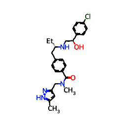 CC[C@@H](Cc1ccc(C(=O)N(C)Cc2cc(C)[nH]n2)cc1)NC[C@H](O)c1ccc(Cl)cc1